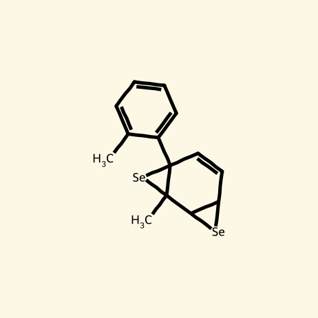 Cc1ccccc1C12C=CC3[Se]C3C1(C)[Se]2